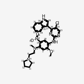 COc1cc(N(C)CCN2CCCC2)c([N+](=O)[O-])cc1Nc1ncc(Cl)c(-c2c[nH]c3ccccc23)n1